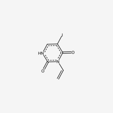 C=Cn1c(=O)[nH]cc(I)c1=O